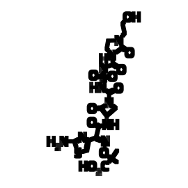 CC(C)(ON=C(C(=O)N[C@H]1CN(C(=O)NS(=O)(=O)NC(=O)N2CCN(CCO)C2=O)C1=O)c1csc(N)n1)C(=O)O